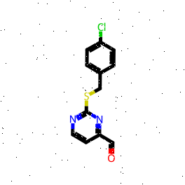 O=Cc1ccnc(SCc2ccc(Cl)cc2)n1